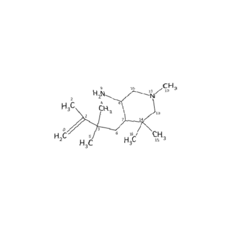 C=C(C)C(C)(C)CC1C(N)CN(C)CC1(C)C